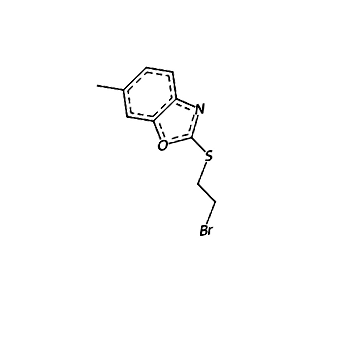 Cc1ccc2nc(SCCBr)oc2c1